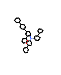 c1ccc(-c2ccc(-c3ccc(N(c4ccc(-c5ccccc5)cc4)c4cccc(-c5ccccc5)c4)c(-c4ccccc4)c3)cc2)cc1